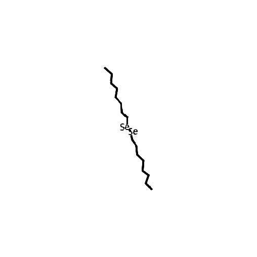 CCCCCCCC[Se][Se]CCCCCCCC